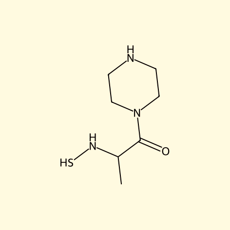 CC(NS)C(=O)N1CCNCC1